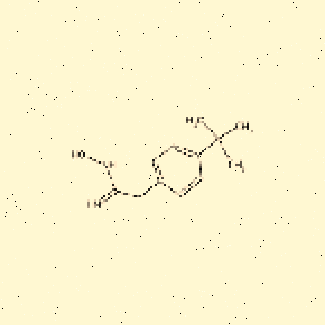 CC(C)(C)c1ccc(CC(=N)NO)cc1